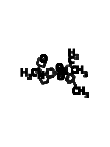 CCc1ccc(N(CC(C)C)S(=O)(=O)c2ccc3c(c2)CCCN3[C@@H](C)C2CCOCC2)cc1